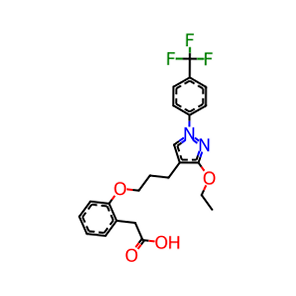 CCOc1nn(-c2ccc(C(F)(F)F)cc2)cc1CCCOc1ccccc1CC(=O)O